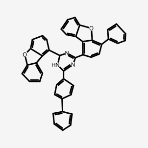 c1ccc(-c2ccc(C3=NC(c4ccc(-c5ccccc5)c5oc6ccccc6c45)=NC(c4cccc5oc6ccccc6c45)N3)cc2)cc1